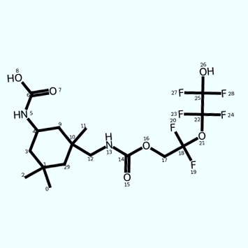 CC1(C)CC(NC(=O)O)CC(C)(CNC(=O)OCC(F)(F)OC(F)(F)C(O)(F)F)C1